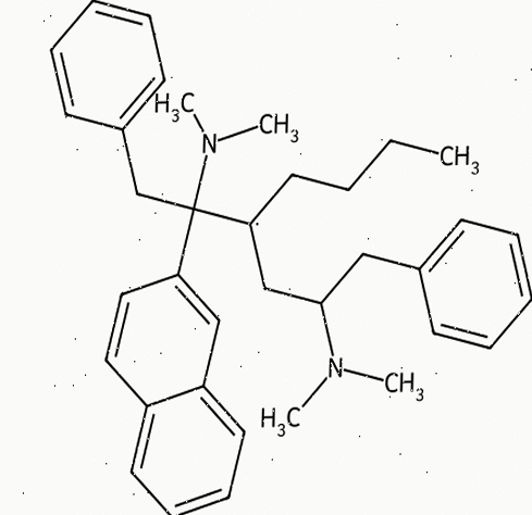 CCCC[C](CC(Cc1ccccc1)N(C)C)C(Cc1ccccc1)(c1ccc2ccccc2c1)N(C)C